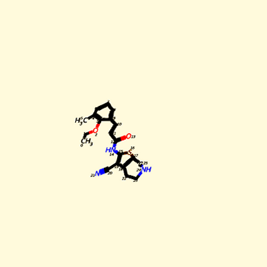 CCOc1c(C)cccc1C=CC(=O)Nc1sc2c(c1C#N)CCNC2